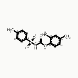 Cc1ccc(S(=O)(=O)NC(=O)Oc2ccc(C)cc2S)cc1